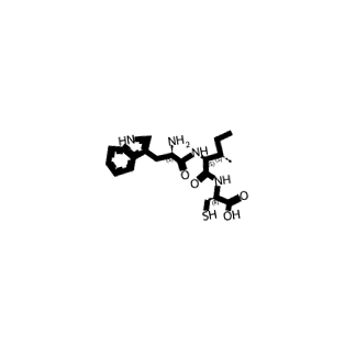 CC[C@H](C)[C@H](NC(=O)[C@@H](N)Cc1c[nH]c2ccccc12)C(=O)N[C@@H](CS)C(=O)O